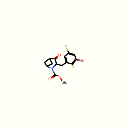 CC(C)(C)OC(=O)N1C2CC(C2)C(=O)C1Cc1cc(F)cc(Br)c1F